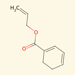 C=CCOC(=O)C1=CC=CCC1